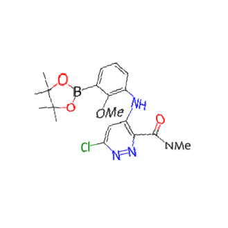 CNC(=O)c1nnc(Cl)cc1Nc1cccc(B2OC(C)(C)C(C)(C)O2)c1OC